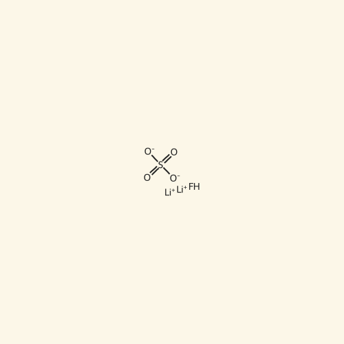 F.O=S(=O)([O-])[O-].[Li+].[Li+]